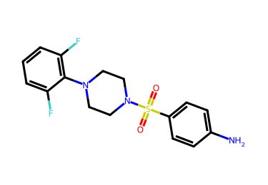 Nc1ccc(S(=O)(=O)N2CCN(c3c(F)cccc3F)CC2)cc1